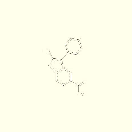 COC(=O)c1ccc2nc(N)c(-c3ccccc3)n2c1